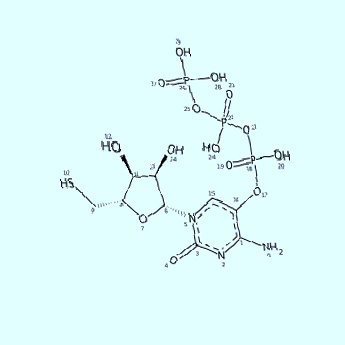 Nc1nc(=O)n([C@@H]2O[C@H](CS)[C@@H](O)[C@H]2O)cc1OP(=O)(O)OP(=O)(O)OP(=O)(O)O